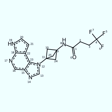 O=C(CCC(F)(F)F)NC12CC(n3cnc4cnc5[nH]ccc5c43)(C1)C2